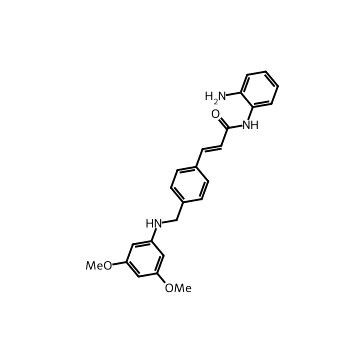 COc1cc(NCc2ccc(/C=C/C(=O)Nc3ccccc3N)cc2)cc(OC)c1